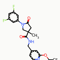 CC1(C(=O)NCc2ccnc(OCC(F)(F)F)c2)CC(=O)N(c2cc(F)cc(F)c2)C1